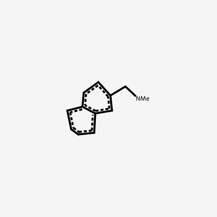 [CH2]NCc1ccc2ccccc2c1